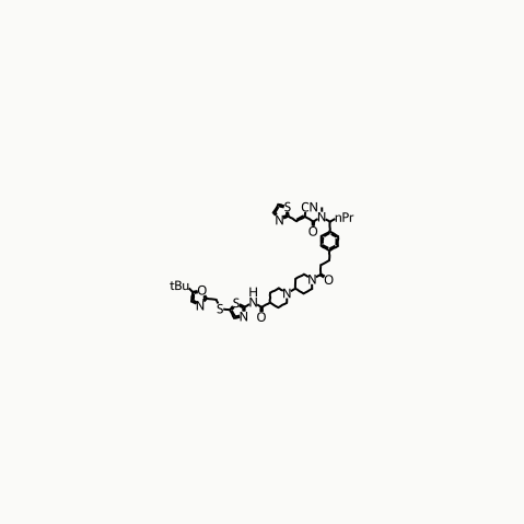 CCCC(c1ccc(CCC(=O)N2CCC(N3CCC(C(=O)Nc4ncc(SCc5ncc(C(C)(C)C)o5)s4)CC3)CC2)cc1)N(C)C(=O)/C(C#N)=C/c1nccs1